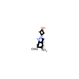 COc1cc2nn([C@H]3C[C@H](O)C3)cc2cc1[N+](=O)[O-]